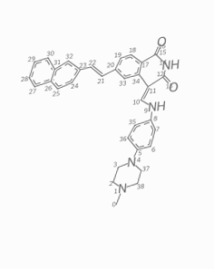 CN1CCN(c2ccc(N/C=C3\C(=O)NC(=O)c4ccc(/C=C/c5ccc6ccccc6c5)cc43)cc2)CC1